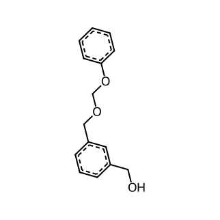 OCc1cccc(COCOc2ccccc2)c1